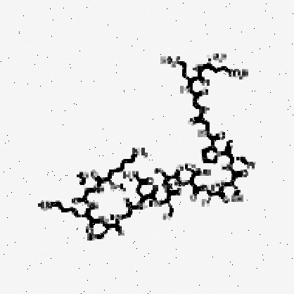 CC(C)C[C@H](NC(=O)[C@H](CCCCN)NC(=O)[C@H](CO)NC(=O)[C@@H](N)CCCCN)C(=O)NCC(=O)N[C@@H](CC(N)=O)C(=O)N[C@@H](CC(C)C)C(=O)N[C@H](C(=O)N[C@H](C(=O)N[C@H](C(=O)N[C@@H](CO)C(=O)N[C@@H](CC(C)C)C(=O)N1CCC[C@H]1C(=O)NCC(=O)NCC(=O)N[C@@H](CCC(=O)O)C(=O)N[C@@H](CCC(=O)O)C(=O)O)C(C)C)[C@@H](C)O)C(C)C